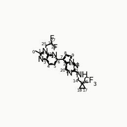 Cc1nc2ccc(-c3ccn4nc(NCC5(C(F)(F)F)CC5)ncc34)nc2n1CC(F)F